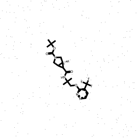 CC(C)(COc1nnccc1C(F)(F)F)NC(=O)C1C2CN(C(=O)OC(C)(C)C)C[C@H]21